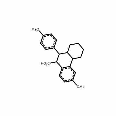 COc1ccc(C2C(C(=O)O)c3ccc(OC)cc3C3CCCCC32)cc1